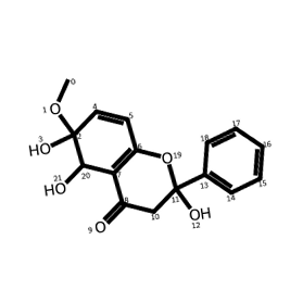 COC1(O)C=CC2=C(C(=O)CC(O)(c3ccccc3)O2)C1O